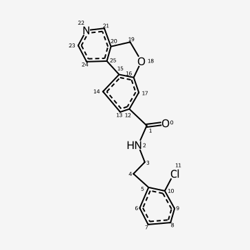 O=C(NCCc1ccccc1Cl)c1ccc2c(c1)OCc1cnccc1-2